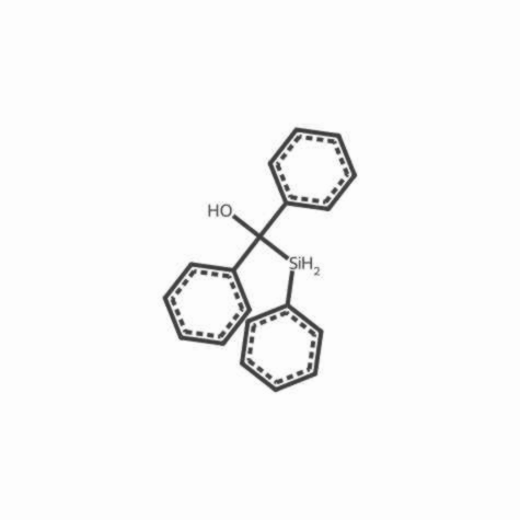 OC([SiH2]c1ccccc1)(c1ccccc1)c1ccccc1